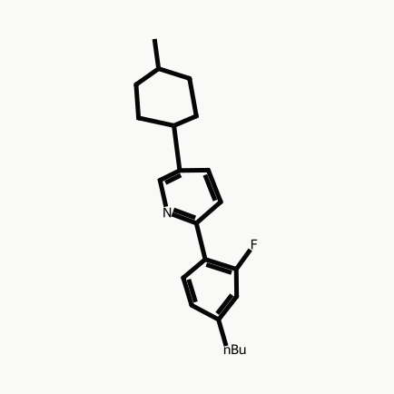 CCCCc1ccc(-c2ccc(C3CCC(C)CC3)cn2)c(F)c1